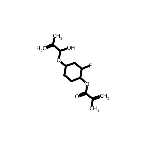 C=C(C)C(=O)OC1CCC(OC(O)C(=C)C)CC1F